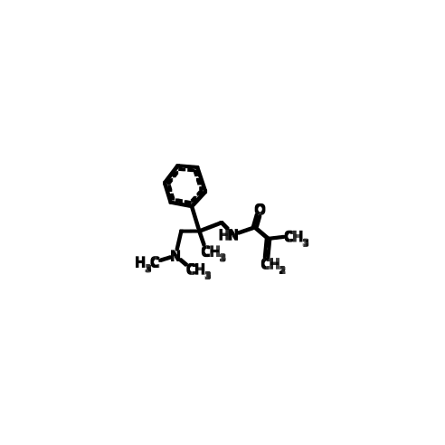 C=C(C)C(=O)NCC(C)(CN(C)C)c1ccccc1